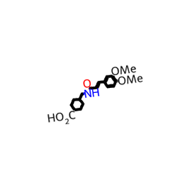 COc1ccc(/C=C/C(=O)NCC2CCC(C(=O)O)CC2)cc1OC